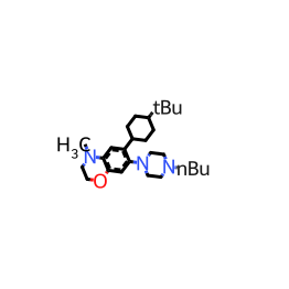 CCCCN1CCN(c2cc3c(cc2C2CCC(C(C)(C)C)CC2)N(C)CCO3)CC1